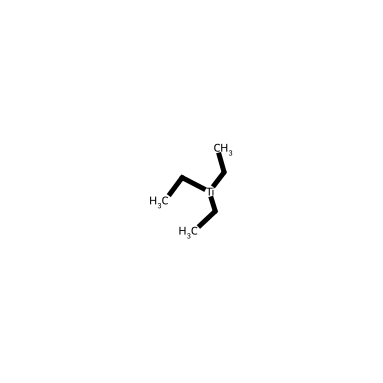 C[CH2][Ti]([CH2]C)[CH2]C